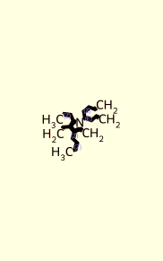 C=C/C=C\C(=C/C=C)n1c(/C=C\C)c(C=C)/c(=C/C=C\C)c1=C